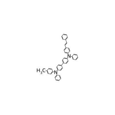 Cc1ccc(N(c2ccccc2)c2ccc(-c3ccc(N(c4ccccc4)c4ccc(C=Cc5ccccc5)cc4)cc3)cc2)cc1